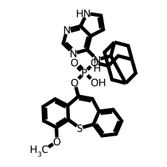 COc1cccc2c1Sc1ccccc1C=C2OP(=O)(O)OC12CC3CC(C1)C(Nc1ncnc4[nH]ccc14)C(C3)C2